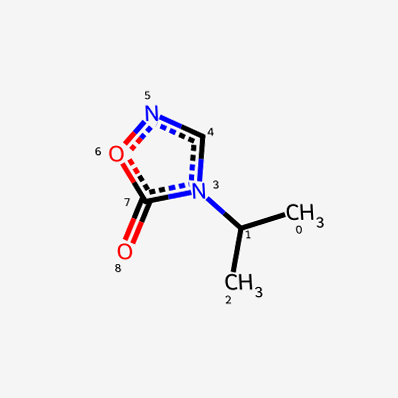 CC(C)n1cnoc1=O